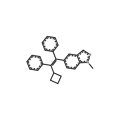 Cn1ncc2cc(/C(=C(/c3ccccc3)C3CCC3)c3[c]cccc3)ccc21